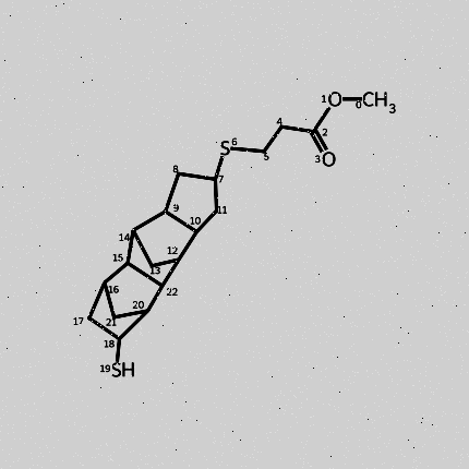 COC(=O)CCSC1CC2C(C1)C1CC2C2C3CC(S)C(C3)C12